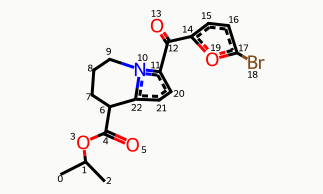 CC(C)OC(=O)C1CCCn2c(C(=O)c3ccc(Br)o3)ccc21